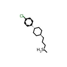 C[SiH2]CCC[C@H]1CC[C@H](c2ccc(Cl)cc2)CC1